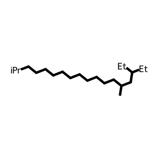 CCC(CC)CC(C)CCCCCCCCCCCC(C)C